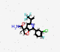 C=C(c1cc2c(c(-c3ccc(F)c(Cl)c3)n1)OC[C@]2(C)C(N)=O)C(F)(F)F